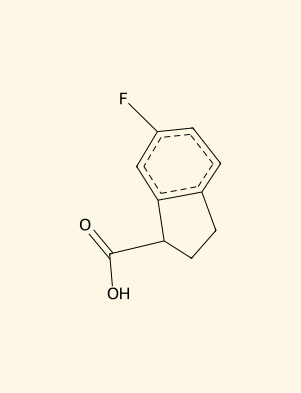 O=C(O)C1CCc2ccc(F)cc21